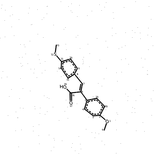 COc1ccc(C(=Cc2ccc(SC)cc2)C(=O)O)cc1